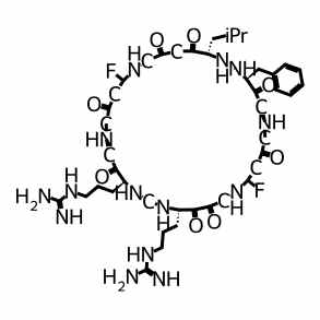 CC(C)C[C@@H]1NN[C@@H](Cc2ccccc2)C(=O)CNCC(=O)CC(F)NCC(=O)C(=O)[C@H](CCCNC(=N)N)NCN[C@@H](CCCNC(=N)N)C(=O)CNCC(=O)CC(F)NCC(=O)CC1=O